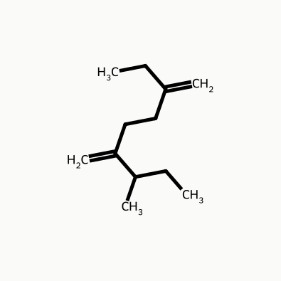 C=C(CC)CCC(=C)C(C)CC